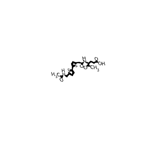 CC(=O)NCc1ccc(-c2ccc(CC(=O)NC(CCC(=O)O)C(C)=O)s2)s1